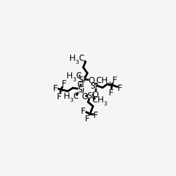 CCCC[Si]1(C)O[Si](C)(CCC(F)(F)F)O[Si](C)(CCC(F)(F)F)O[Si](C)(CCC(F)(F)F)O1